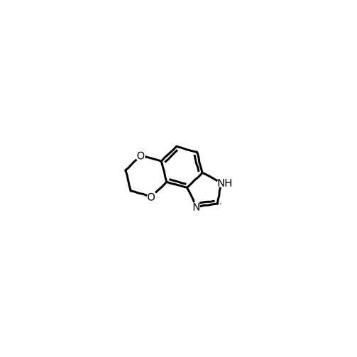 [c]1nc2c3c(ccc2[nH]1)OCCO3